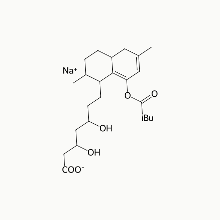 CCC(C)C(=O)OC1=C2C(CCC(C)C2CCC(O)CC(O)CC(=O)[O-])CC(C)=C1.[Na+]